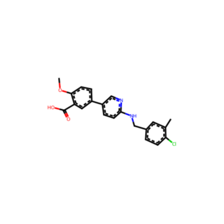 COc1ccc(-c2ccc(NCc3ccc(Cl)c(C)c3)nc2)cc1C(=O)O